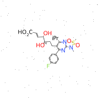 CC(C)c1nc(N(C)S(C)(=O)=O)nc(-c2ccc(F)cc2)c1CC[C@H](O)C(O)C=CC(=O)O